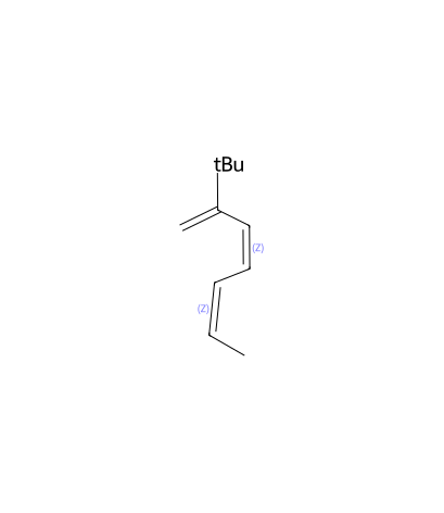 C=C(/C=C\C=C/C)C(C)(C)C